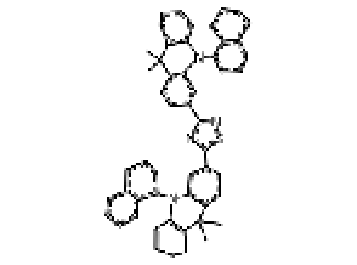 CC1(C)C2=C(C=CCC2)N(c2cccc3ccccc23)c2cc(-c3nc(-c4ccc5c(c4)N(c4cccc6ccccc46)c4ccccc4C5(C)C)ns3)ccc21